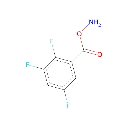 NOC(=O)c1cc(F)cc(F)c1F